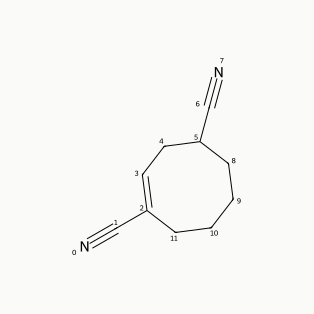 N#CC1=CCC(C#N)CCCC1